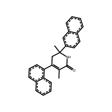 CC1=C(c2cccc3ccccc23)CC(C)(c2ccc3ccccc3c2)NC1=O